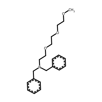 COCCOCCOCCN(Cc1ccccc1)Cc1ccccc1